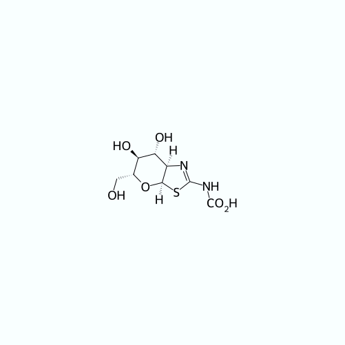 O=C(O)NC1=N[C@@H]2[C@@H](O)[C@H](O)[C@@H](CO)O[C@@H]2S1